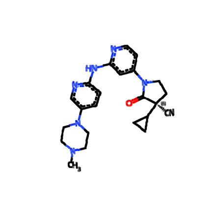 CN1CCN(c2ccc(Nc3cc(N4CC[C@@](C#N)(C5CC5)C4=O)ccn3)nc2)CC1